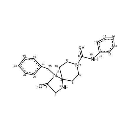 O=C1CNC2(CCN(C(=S)Nc3ccccc3)CC2)N1Cc1ccccc1